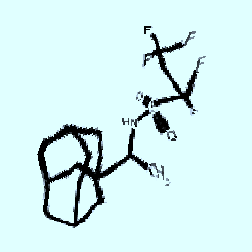 CC(NS(=O)(=O)C(F)(F)C(F)(F)F)C12CC3CC(CC(C3)C1)C2